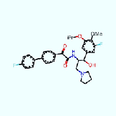 COc1c(F)cc(C(O)C(CN2CCCC2)NC(=O)C(=O)c2ccc(-c3ccc(F)cc3)cc2)cc1OC(C)C